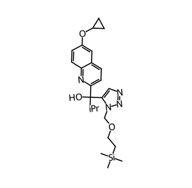 CC(C)C(O)(c1ccc2cc(OC3CC3)ccc2n1)c1cnnn1COCC[Si](C)(C)C